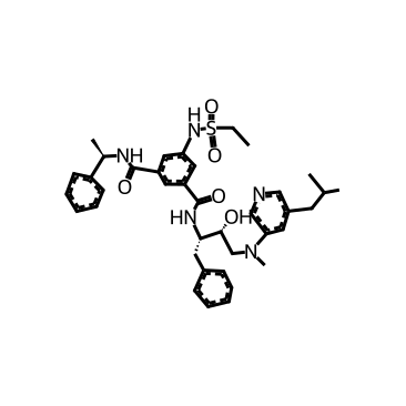 CCS(=O)(=O)Nc1cc(C(=O)N[C@@H](Cc2ccccc2)[C@H](O)CN(C)c2cncc(CC(C)C)c2)cc(C(=O)N[C@H](C)c2ccccc2)c1